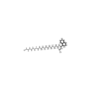 CCCCCCCCCCCCCCCCCCCCCCC(CCC)c1cccc2ccccc12